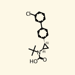 CC(C)(C)N(C(=O)O)[C@@H]1C[C@H]1c1ccc(-c2cccc(Cl)c2)cc1